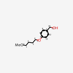 COCCCCOc1ccc(CO)cc1